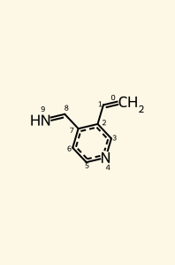 C=Cc1cnccc1C=N